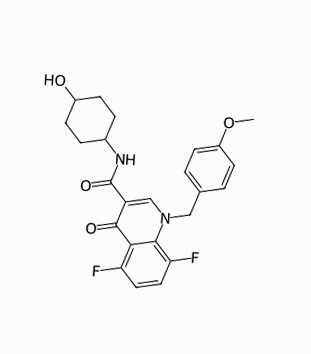 COc1ccc(Cn2cc(C(=O)NC3CCC(O)CC3)c(=O)c3c(F)ccc(F)c32)cc1